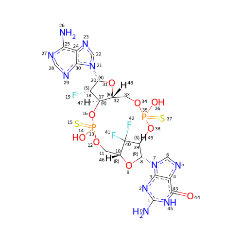 Nc1nc2c(ncn2[C@@H]2O[C@@H]3COP(O)(=S)O[C@H]4[C@H](F)[C@H](n5cnc6c(N)ncnc65)O[C@@H]4COP(O)(=S)O[C@@H]2C3(F)F)c(=O)[nH]1